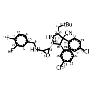 CC(C)(C)C[C@@H]1N[C@@H](C2OC2NCc2ccc(F)c(F)c2)[C@H](c2cccc(Cl)c2)[C@@]1(C#N)c1ccc(Cl)cc1